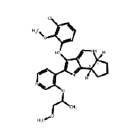 COCC(C)Oc1cnccc1C1=C(Nc2cccc(Cl)c2OC)C2=CN[C@@H]3CCC[C@@H]3C2=N1